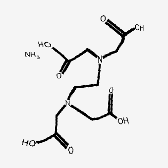 N.O=C(O)CN(CCN(CC(=O)O)CC(=O)O)CC(=O)O